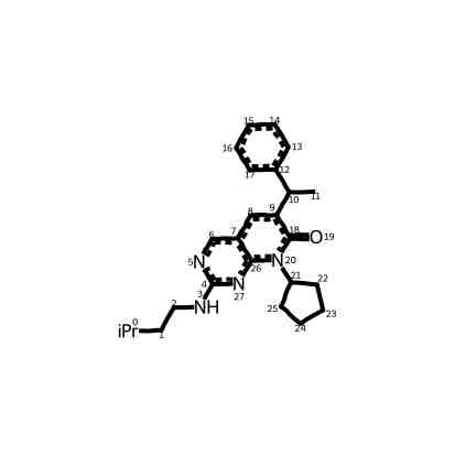 CC(C)CCNc1ncc2cc(C(C)c3ccccc3)c(=O)n(C3CCCC3)c2n1